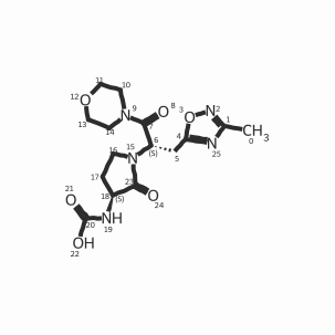 Cc1noc(C[C@@H](C(=O)N2CCOCC2)N2CC[C@H](NC(=O)O)C2=O)n1